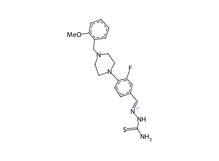 COc1ccccc1CN1CCN(c2ccc(/C=N/NC(N)=S)cc2F)CC1